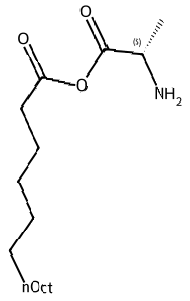 CCCCCCCCCCCCCC(=O)OC(=O)[C@H](C)N